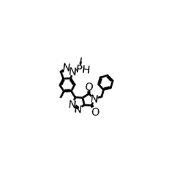 Cc1cc2cnn(PI)c2cc1C1N=NC2C(=O)N(Cc3ccccc3)C(=O)C21